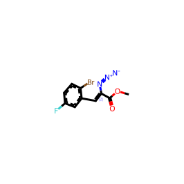 COC(=O)/C(=C/c1cc(F)ccc1Br)N=[N+]=[N-]